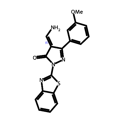 COc1cccc(C2=NN(c3nc4ccccc4s3)C(=O)/C2=C/N)c1